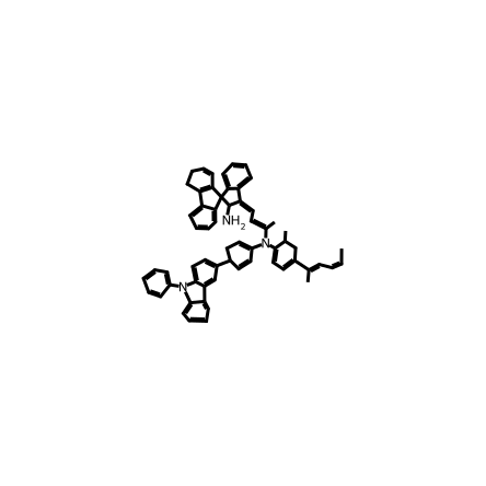 C/C=C\C=C(/C)C1=CC=C(N(C2=CCC(c3ccc4c(c3)c3ccccc3n4-c3ccccc3)C=C2)/C(C)=C/C=C2/c3ccccc3C3(C4=C(CCC=C4)c4ccccc43)C2N)C(C)C1